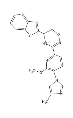 COc1nc(C2=NOCC(c3cc4ccccc4o3)N2)ccc1-n1cnc(C)c1